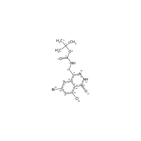 CC(C)(C)OC(=O)NCc1n[nH]c(=O)c2c(Cl)cc(Br)cc12